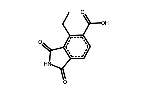 CCc1c(C(=O)O)ccc2c1C(=O)NC2=O